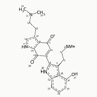 CNCCc1c(C2=CC(=O)c3c(CCN(C)C)c[nH]c3C2=O)[nH]c2cccc(O)c12